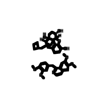 COc1ccc(Cc2nccc3cc(OC)c(OC)cc23)cc1OC.Oc1ccc2c3c1O[C@H]1[C@@H](O)CC[C@@]4(O)[C@@H](C2)N(CC2CCC2)CC[C@]314